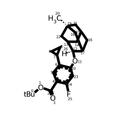 CC(C)(C)OC(=O)c1cc(C2CC2)c(O[C@H]2C3CC4CC2C[C@](C)(C4)C3)cc1F